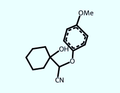 COc1ccc(OC(C#N)C2(O)CCCCC2)cc1